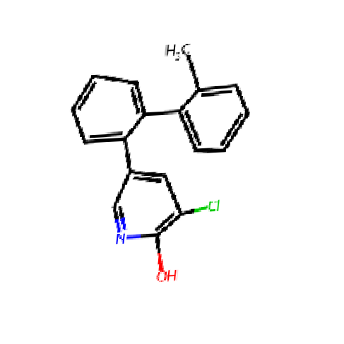 Cc1ccccc1-c1ccccc1-c1cnc(O)c(Cl)c1